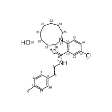 Cc1ccc(CCNC(=O)c2cc(Cl)ccc2N2CCCCCCCC2)cc1.Cl